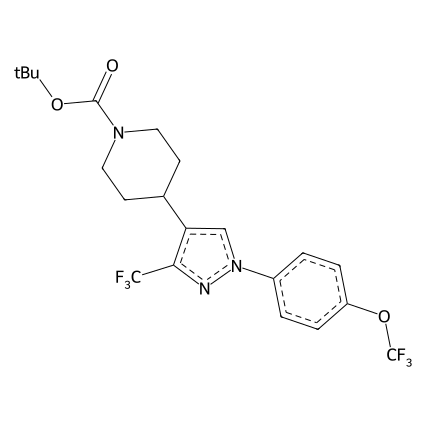 CC(C)(C)OC(=O)N1CCC(c2cn(-c3ccc(OC(F)(F)F)cc3)nc2C(F)(F)F)CC1